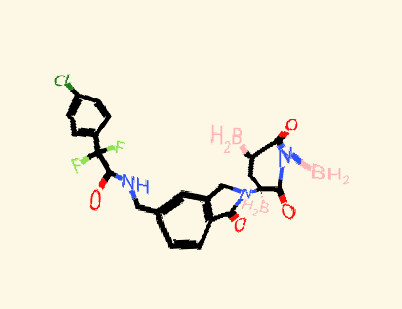 BC1C[C@](B)(N2Cc3cc(CNC(=O)C(F)(F)c4ccc(Cl)cc4)ccc3C2=O)C(=O)N(B)C1=O